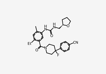 CCc1cc(C)c(NC(=O)NC[C@H]2CCCO2)cc1C(=O)N1CCC(F)(c2ccc(C#N)cc2)CC1